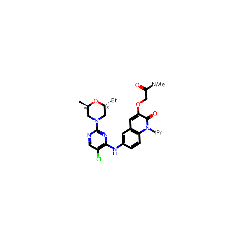 CC[C@@H]1CN(c2ncc(Cl)c(Nc3ccc4c(c3)cc(OCC(=O)NC)c(=O)n4C(C)C)n2)C[C@@H](C)O1